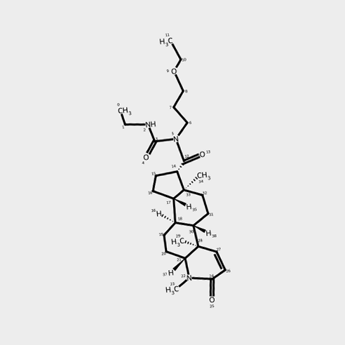 CCNC(=O)N(CCCOCC)C(=O)[C@H]1CC[C@H]2[C@@H]3CC[C@H]4N(C)C(=O)C=C[C@]4(C)[C@H]3CC[C@]12C